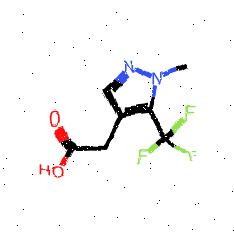 Cn1ncc(CC(=O)O)c1C(F)(F)F